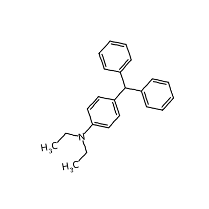 CCN(CC)c1ccc(C(c2ccccc2)c2ccccc2)cc1